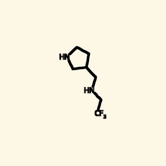 FC(F)(F)CNCC1CCNC1